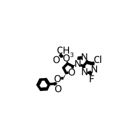 CC(=O)O[C@@H]1C[C@@H](COC(=O)c2ccccc2)O[C@H]1n1cnc2c(Cl)nc(F)nc21